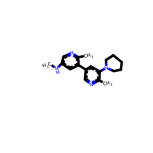 CNc1cnc(C)c(-c2cnc(C)c(N3CCCCC3)c2)c1